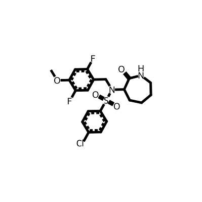 COc1cc(F)c(CN(C2CCCCNC2=O)S(=O)(=O)c2ccc(Cl)cc2)cc1F